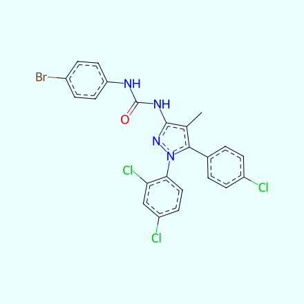 Cc1c(NC(=O)Nc2ccc(Br)cc2)nn(-c2ccc(Cl)cc2Cl)c1-c1ccc(Cl)cc1